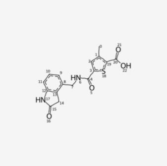 Cc1cc(C(=O)NCc2cccc3c2CC(=O)N3)sc1C(=O)O